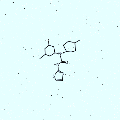 CC1CCC(N(C(=O)Nc2nccs2)C2CC(C)CC(C)C2)CC1